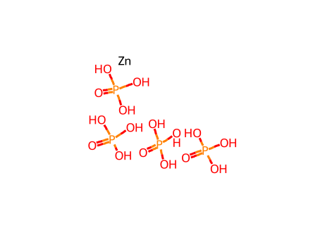 O=P(O)(O)O.O=P(O)(O)O.O=P(O)(O)O.O=P(O)(O)O.[Zn]